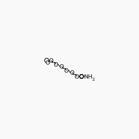 Nc1ccc(OCCOCCOCCOCCOCCOC2CCCCO2)cc1